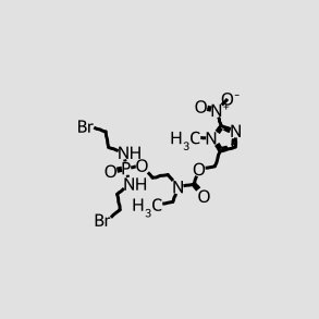 CCN(CCOP(=O)(NCCBr)NCCBr)C(=O)OCc1cnc([N+](=O)[O-])n1C